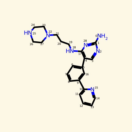 Nc1ncc(-c2cccc(-c3ccccn3)c2)c(NCCCN2CCNCC2)n1